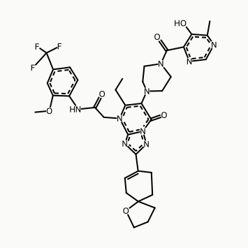 CCc1c(N2CCN(C(=O)c3ncnc(C)c3O)CC2)c(=O)n2nc(C3=CCC4(CCCO4)CC3)nc2n1CC(=O)Nc1ccc(C(F)(F)F)cc1OC